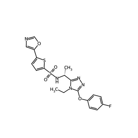 CCn1c(Oc2ccc(F)cc2)nnc1[C@@H](C)NS(=O)(=O)c1ccc(-c2cnco2)s1